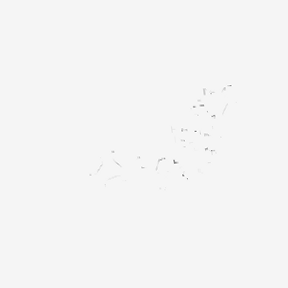 C[C@H](NP1(=O)OC[C@H]2O[C@@H](n3ccc(=O)[nH]c3=S)C(C)(O)[C@H]2O1)C(=O)OCc1ccccc1